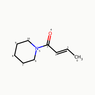 CC=CC(=O)N1CCCCC1